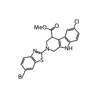 COC(=O)C1CN(c2nc3ccc(Br)cc3s2)Cc2[nH]c3ccc(Cl)cc3c21